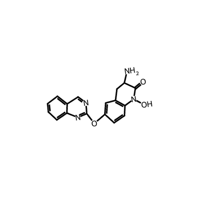 NC1Cc2cc(Oc3ncc4ccccc4n3)ccc2N(O)C1=O